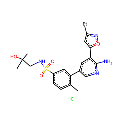 CCc1cc(-c2cc(-c3cc(S(=O)(=O)NCC(C)(C)O)ccc3C)cnc2N)on1.Cl